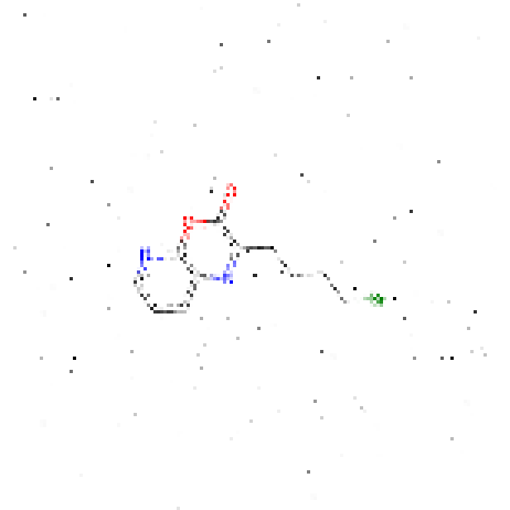 O=c1oc2ncccc2nc1CCCCBr